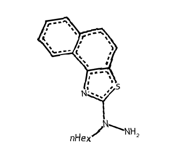 CCCCCCN(N)c1nc2c(ccc3ccccc32)s1